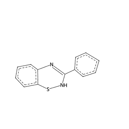 c1ccc(C2=Nc3ccccc3SN2)cc1